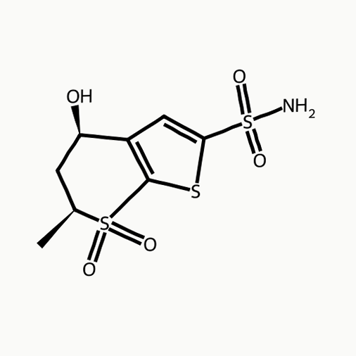 C[C@H]1C[C@@H](O)c2cc(S(N)(=O)=O)sc2S1(=O)=O